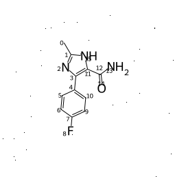 Cc1nc(-c2ccc(F)cc2)c(C(N)=O)[nH]1